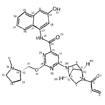 C=CC(=O)N1C[C@@H]2C[C@H]1CN2c1cc(C(=O)Nc2cc(O)cc3ccccc23)nc(OC[C@@H]2CCCN2C)n1